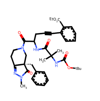 CCOC(=O)c1ccccc1C#CCC(NC(=O)C(C)(C)NC(=O)OC(C)(C)C)C(=O)N1CCC2=NN(C)C(=O)[C@]2(Cc2ccccc2)C1